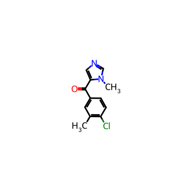 Cc1cc(C(=O)c2cncn2C)ccc1Cl